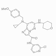 COc1ccc(CN(c2cc(NC3CCOCC3)nn3c(C(=O)Nc4ccnc(Cl)c4)cnc23)C2CC2)cc1